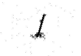 CCC(C)SP(=O)(NCCCCCCCCCCCCC(=O)CCCCCCBr)N(CC)CC